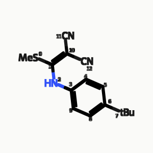 CSC(Nc1ccc(C(C)(C)C)cc1)=C(C#N)C#N